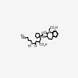 CCNCCCN(CC)C(=O)CC(CC1(C(=O)NC2CCc3ccccc3N(CC(=O)O)C2=O)CCCC1)C(=O)O